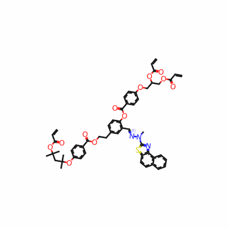 C=CC(=O)OCC(COc1ccc(C(=O)Oc2ccc(CCOC(=O)c3ccc(OC(C)(C)CC(C)(C)OC(=O)C=C)cc3)cc2/C=N/N(C)c2nc3c(ccc4ccccc43)s2)cc1)OC(=O)C=C